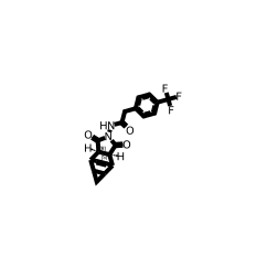 O=C(Cc1ccc(C(F)(F)F)cc1)NN1C(=O)[C@@H]2C3C=CC(C4CC43)[C@@H]2C1=O